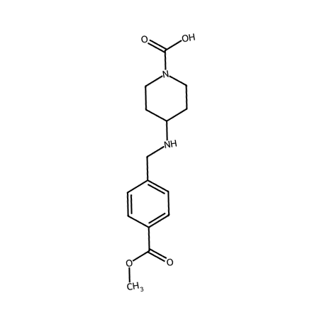 COC(=O)c1ccc(CNC2CCN(C(=O)O)CC2)cc1